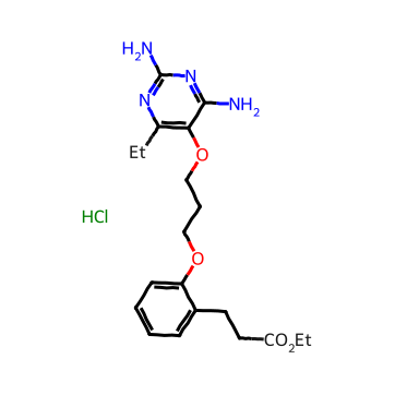 CCOC(=O)CCc1ccccc1OCCCOc1c(N)nc(N)nc1CC.Cl